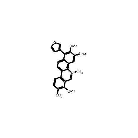 COc1cc2c(ccc3c4ccc(C)c(OC)c4c[n+](C)c23)c(-c2ccoc2)c1OC